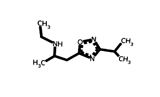 CCNC(C)Cc1nc(C(C)C)no1